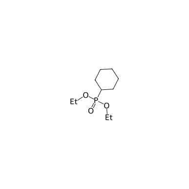 CCOP(=O)(OCC)C1CCCCC1